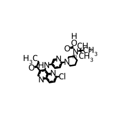 CCC(=O)c1cnc2ccc(Cl)nc2c1Nc1ccc(N2CCC[C@@H](N(C(=O)O)C(C)(C)C)C2)nc1